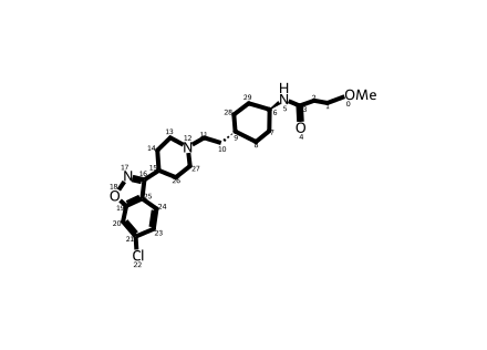 COCCC(=O)N[C@H]1CC[C@H](CCN2CCC(c3noc4cc(Cl)ccc34)CC2)CC1